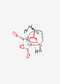 O=C1OC(=O)[C@H]2[C@@H]1[C@@H]1C=C[C@H]2O1